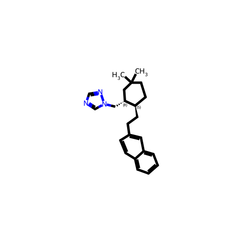 CC1(C)CC[C@@H](CCc2ccc3ccccc3c2)[C@H](Cn2cncn2)C1